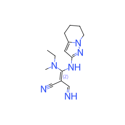 CCN(C)/C(Nc1cc2n(n1)CCCC2)=C(\C#N)C=N